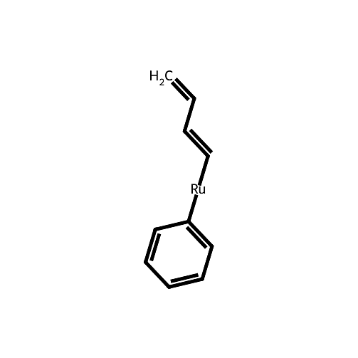 C=CC=[CH][Ru][c]1ccccc1